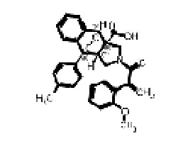 C=C(C(=O)N1C[C@@H]2[C@@]3(c4ccc(C)cc4)CC[C@@H](c4ccccc43)[C@]2(C(=O)O)C1)c1ccccc1OC